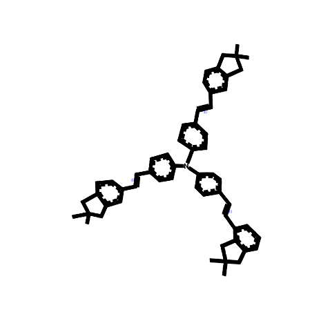 CC1(C)Cc2ccc(/C=C/c3ccc(N(c4ccc(/C=C/c5ccc6c(c5)CC(C)(C)C6)cc4)c4ccc(/C=C/c5cccc6c5CC(C)(C)C6)cc4)cc3)cc2C1